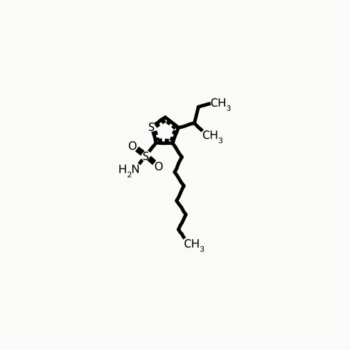 CCCCCCCc1c(C(C)CC)csc1S(N)(=O)=O